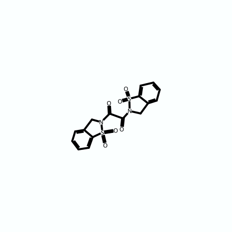 O=C(C(=O)N1Cc2ccccc2S1(=O)=O)N1Cc2ccccc2S1(=O)=O